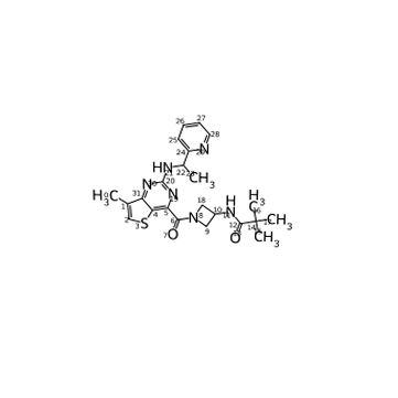 Cc1csc2c(C(=O)N3CC(NC(=O)C(C)(C)C)C3)nc(NC(C)c3ccccn3)nc12